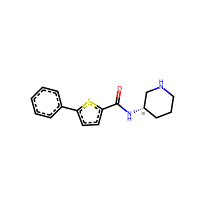 O=C(N[C@H]1CCCNC1)c1ccc(-c2ccccc2)s1